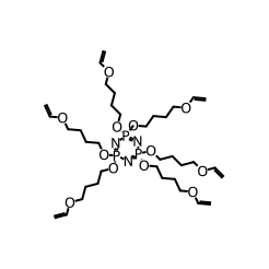 C=COCCCCOP1(OCCCCOC=C)=NP(OCCCCOC=C)(OCCCCOC=C)=NP(OCCCCOC=C)(OCCCCOC=C)=N1